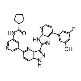 O=C(Nc1cncc(-c2ccc3[nH]nc(-c4nc5c(-c6cc(O)cc(F)c6)ccnc5[nH]4)c3n2)c1)C1CCCC1